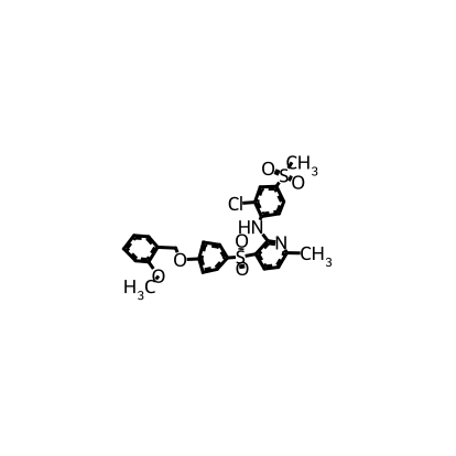 COc1ccccc1COc1ccc(S(=O)(=O)c2ccc(C)nc2Nc2ccc(S(C)(=O)=O)cc2Cl)cc1